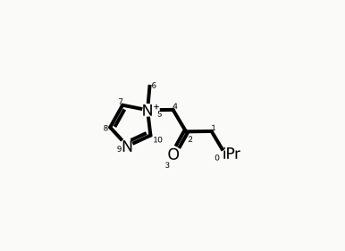 CC(C)CC(=O)C[N+]1(C)C=CN=C1